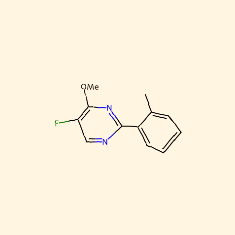 COc1nc(-c2ccccc2C)ncc1F